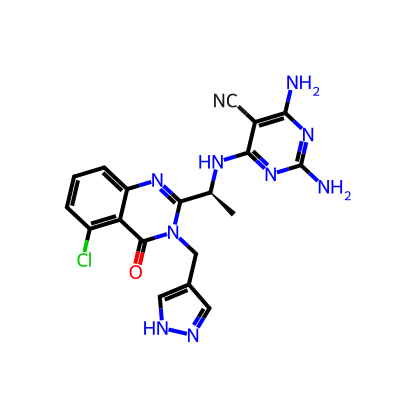 C[C@H](Nc1nc(N)nc(N)c1C#N)c1nc2cccc(Cl)c2c(=O)n1Cc1cn[nH]c1